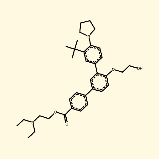 CCN(CC)CCOC(=O)c1ccc(-c2ccc(OCCO)c(-c3ccc(N4CCCC4)c(C(C)(C)C)c3)c2)cc1